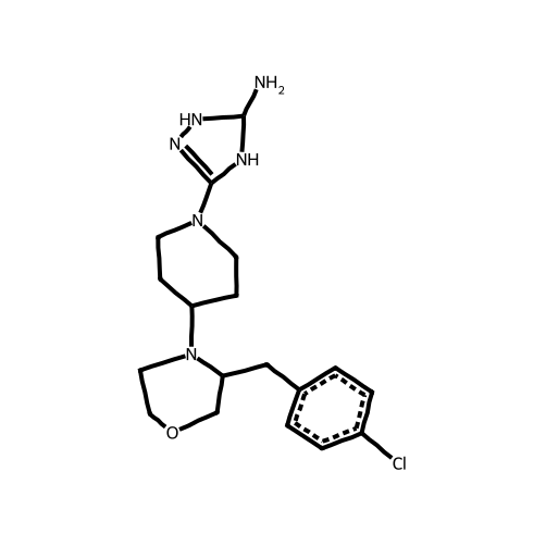 NC1NN=C(N2CCC(N3CCOCC3Cc3ccc(Cl)cc3)CC2)N1